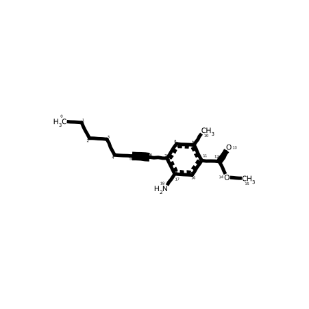 CCCCCC#Cc1cc(C)c(C(=O)OC)cc1N